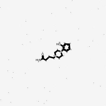 NC(=O)CCCN1CCN(c2ccccc2O)CC1